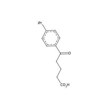 CC(C)c1ccc(C(=O)CCCC(=O)O)cc1